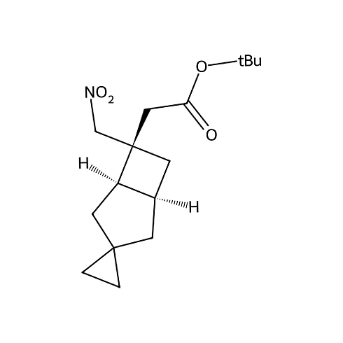 CC(C)(C)OC(=O)C[C@@]1(C[N+](=O)[O-])C[C@H]2CC3(CC3)C[C@H]21